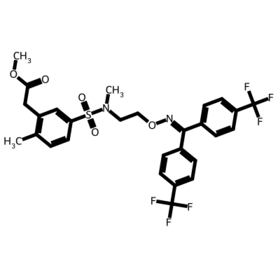 COC(=O)Cc1cc(S(=O)(=O)N(C)CCON=C(c2ccc(C(F)(F)F)cc2)c2ccc(C(F)(F)F)cc2)ccc1C